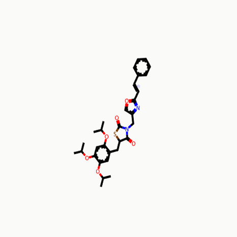 CC(C)Oc1cc(OC(C)C)c(OC(C)C)cc1CC1SC(=O)N(Cc2coc(/C=C/c3ccccc3)n2)C1=O